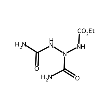 CCOC(=O)NN(NC(N)=O)C(N)=O